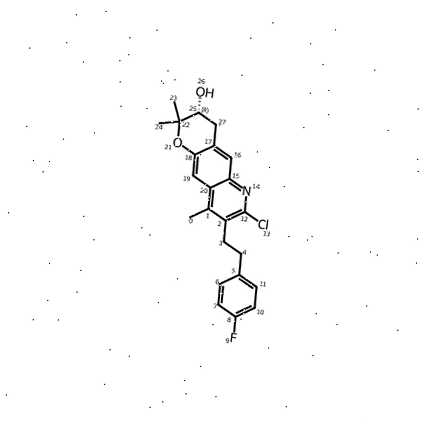 Cc1c(CCc2ccc(F)cc2)c(Cl)nc2cc3c(cc12)OC(C)(C)[C@H](O)[CH]3